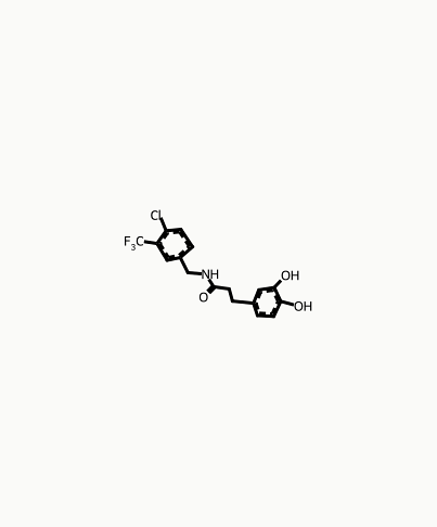 O=C(CCc1ccc(O)c(O)c1)NCc1ccc(Cl)c(C(F)(F)F)c1